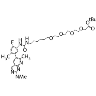 CNc1ncc2cc(-c3cc(NC(=O)NCCCCCCOCCOCCOCCOCC(=O)OC(C)(C)C)c(F)cc3C)c(C)nc2n1